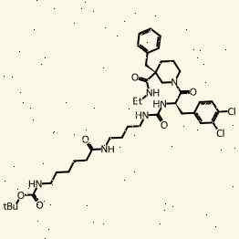 CCNC(=O)[C@]1(Cc2ccccc2)CCCN(C(=O)[C@@H](Cc2ccc(Cl)c(Cl)c2)NC(=O)NCCCCNC(=O)CCCCCNC(=O)OC(C)(C)C)C1